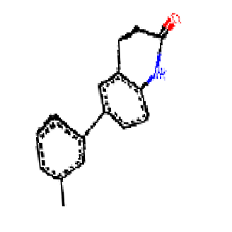 Cc1cccc(-c2ccc3c(c2)CCC(=O)N3)c1